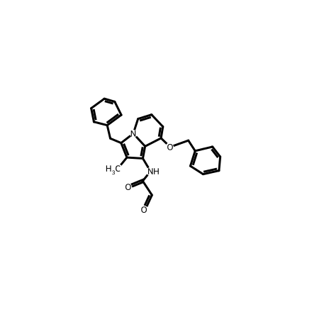 Cc1c(NC(=O)C=O)c2c(OCc3ccccc3)cccn2c1Cc1ccccc1